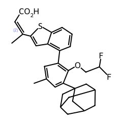 C/C(=C/C(=O)O)c1cc2c(-c3cc(C)cc(C45CC6CC(CC(C6)C4)C5)c3OCC(F)F)cccc2s1